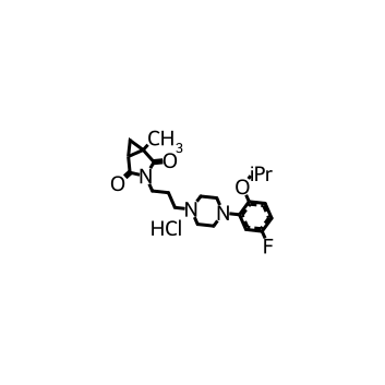 CC(C)Oc1ccc(F)cc1N1CCN(CCCN2C(=O)C3CC3(C)C2=O)CC1.Cl